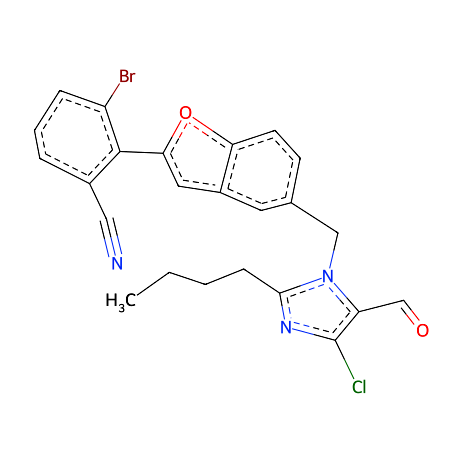 CCCCc1nc(Cl)c(C=O)n1Cc1ccc2oc(-c3c(Br)cccc3C#N)cc2c1